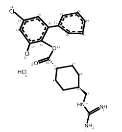 Cl.N=C(N)NC[C@H]1CC[C@H](C(=O)Oc2c(Cl)cc(Cl)cc2-c2ccccc2)CC1